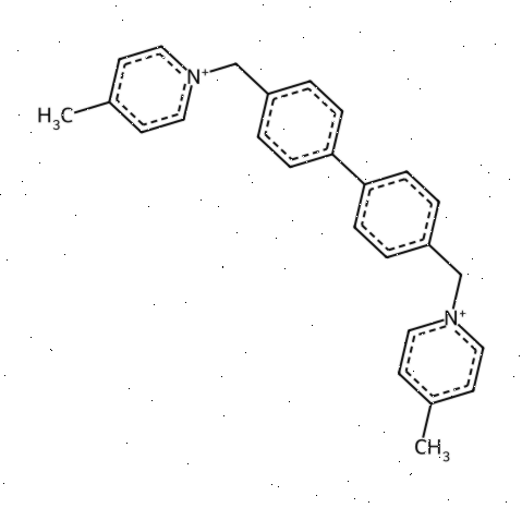 Cc1cc[n+](Cc2ccc(-c3ccc(C[n+]4ccc(C)cc4)cc3)cc2)cc1